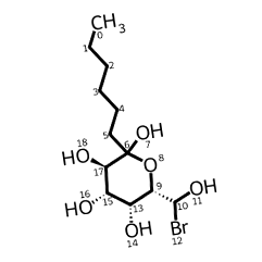 CCCCCCC1(O)O[C@H](C(O)Br)[C@H](O)[C@H](O)[C@H]1O